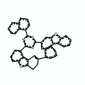 C1=C(c2ccccc2)CCc2oc3cccc(-c4nc(-c5ccc6c(c5)oc5ccccc56)nc(-c5cccc6ccccc56)n4)c3c21